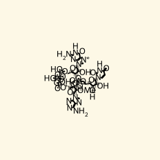 CO[C@@H]1[C@H](OP(=O)([O-])OC[C@H]2O[C@@H](n3ccc(=O)[nH]c3=O)[C@H](O)[C@@H]2O)[C@@H](COP(=O)(O)OP(=O)(O)OP(=O)(O)OC[C@H]2O[C@@H](n3c[n+](C)c4c(=O)[nH]c(N)nc43)[C@H](O)[C@@H]2COC(F)(F)F)O[C@H]1n1cnc2c(N)ncnc21